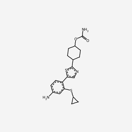 NC(=O)OC1CCC(c2ncc(-c3ccc(N)cc3SC3CC3)s2)CC1